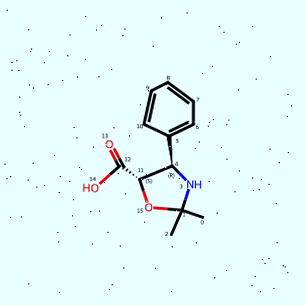 CC1(C)N[C@H](c2ccccc2)[C@@H](C(=O)O)O1